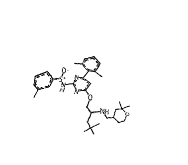 Cc1cccc([S+]([O-])Nc2nc(OCC(CC(C)(C)C)NCC3CCOC(C)(C)C3)cc(-c3c(C)cccc3C)n2)c1